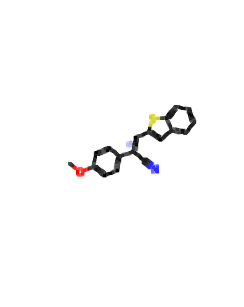 COc1ccc(/C(C#N)=C/c2cc3ccccc3s2)cc1